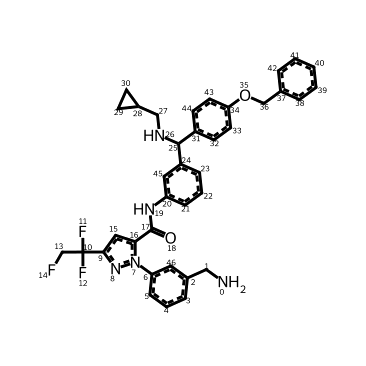 NCc1cccc(-n2nc(C(F)(F)CF)cc2C(=O)Nc2cccc(C(NCC3CC3)c3ccc(OCc4ccccc4)cc3)c2)c1